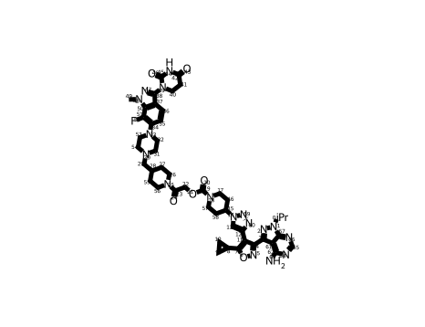 CC(C)n1nc(-c2noc(C3CC3)c2-c2cn(C3CCN(C(=O)OCC(=O)N4CCC(CN5CCN(c6ccc7c(N8CCC(=O)NC8=O)nn(C)c7c6F)CC5)CC4)CC3)nn2)c2c(N)ncnc21